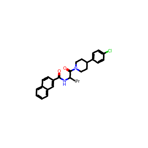 CC(C)C(NC(=O)c1ccc2ccccc2c1)C(=O)N1CCC(c2ccc(Cl)cc2)CC1